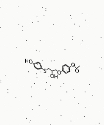 CC(=O)Oc1ccc(OCC(O)CSc2ccc(O)cc2)cc1